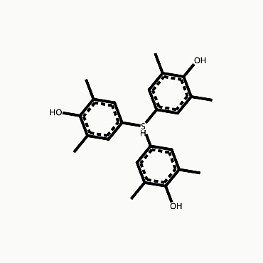 Cc1cc([SH](c2cc(C)c(O)c(C)c2)c2cc(C)c(O)c(C)c2)cc(C)c1O